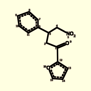 O=C(CC(C[N+](=O)[O-])c1ccccc1)c1ccco1